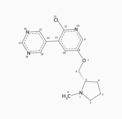 CN1CCC[C@H]1COc1cnc(Cl)c(-c2cncnc2)c1